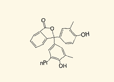 CCCc1cc(C2(c3ccc(O)c(C)c3)OC(=O)c3ccccc32)cc(C)c1O